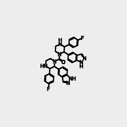 O=C(N1CCNC(c2ccc(F)cc2)C1c1ccc2[nH]ncc2c1)N1CCNC(c2ccc(F)cc2)C1c1ccc2[nH]ncc2c1